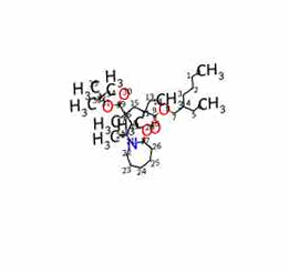 CCCCC(CC)COC(=O)C(C)(CC)CC(C)(CC(C)N1CCCCCC1=O)C(=O)OC(C)(C)C